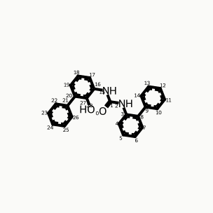 O=C(Nc1ccccc1-c1ccccc1)Nc1cccc(-c2ccccc2)c1O